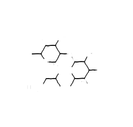 CC(CC(=O)O)O[C@@H]1OC(C)[C@H](O)C(O)C1O[C@@H]1OC(C)[C@H](O)C(O)C1O